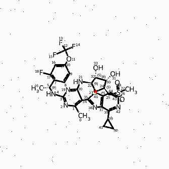 Cc1nc(N[C@H](C)c2ccc(OC(F)(F)F)cc2F)nc(N[C@@H]2C[C@H](CS(C)(=O)=O)[C@@H](O)[C@H]2O)c1-c1nc2c(C3CC3)nccc2s1